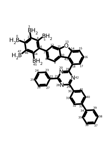 Bc1c(B)c(B)c(-c2ccc3c(c2)oc2cccc(-c4nc(-c5ccccc5)nc(-c5ccc(-c6ccccc6)cc5)n4)c23)c(B)c1B